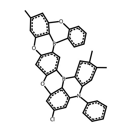 Cc1cc2c3c(c1)Oc1cc4c(cc1B3c1ccccc1O2)B1c2cc(C)c(C)cc2N(c2ccccc2)c2cc(Cl)cc(c21)O4